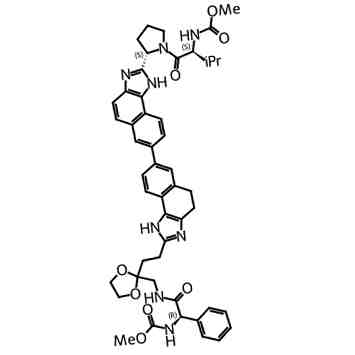 COC(=O)N[C@H](C(=O)N1CCC[C@H]1c1nc2ccc3cc(-c4ccc5c(c4)CCc4nc(CCC6(CNC(=O)[C@H](NC(=O)OC)c7ccccc7)OCCO6)[nH]c4-5)ccc3c2[nH]1)C(C)C